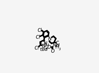 CC1(NC(=O)OC(C)(C)C)CCN(c2ccc(Cl)c(Cl)c2-c2cc(Cl)[nH]n2)CC1